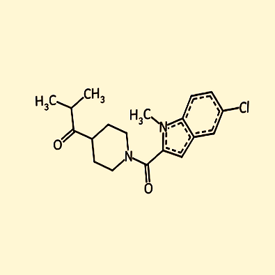 CC(C)C(=O)C1CCN(C(=O)c2cc3cc(Cl)ccc3n2C)CC1